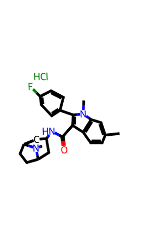 Cc1ccc2c(C(=O)NC3CC4CCC(C3)N4C)c(-c3ccc(F)cc3)n(C)c2c1.Cl